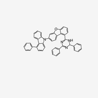 c1ccc(C2=NC(c3ccccc3)NC(c3cccc4oc5cc(-n6c7ccccc7c7c(-c8ccccc8)cccc76)ccc5c34)=N2)cc1